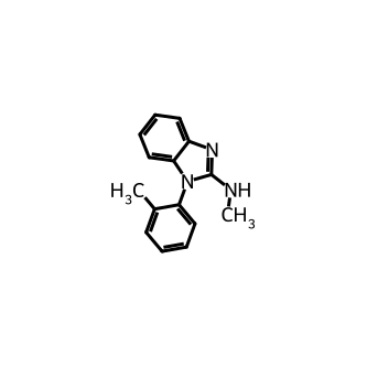 CNc1nc2ccccc2n1-c1ccccc1C